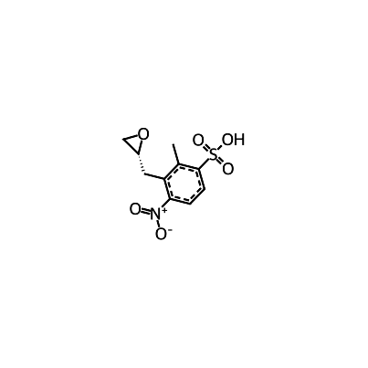 Cc1c(S(=O)(=O)O)ccc([N+](=O)[O-])c1C[C@@H]1CO1